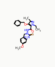 CCn1nc(C)c(OCc2ccccc2)c1C(=O)NN(Cc1ccc(OC)cc1)C(N)=S